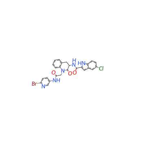 O=C(CN1C(=O)C(NC(=O)c2cc3cc(Cl)ccc3[nH]2)Cc2ccccc21)Nc1ccc(Br)nc1